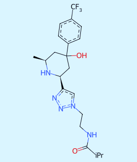 CC(C)C(=O)NCCn1cc([C@@H]2CC(O)(c3ccc(C(F)(F)F)cc3)C[C@H](C)N2)nn1